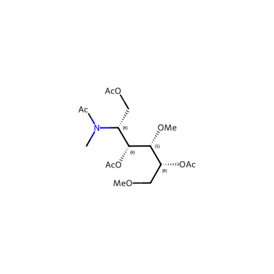 COC[C@@H](OC(C)=O)[C@@H](OC)[C@H](OC(C)=O)[C@@H](COC(C)=O)N(C)C(C)=O